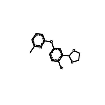 Cc1cccc(Oc2ccc(Br)c(C3OCCO3)c2)n1